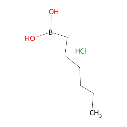 CCCCCCB(O)O.Cl